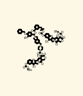 CCc1c2c(nc3ccc(OC(=O)OC(C)(C)Cc4cccc(COc5cc(OCc6ccccc6)c(C(C)C)cc5C(=O)N5Cc6ccc(CN7CCN(C(=O)OC8(CC)C(=O)OCc9c8cc8n(c9=O)Cc9c-8nc8ccc(OC(=O)OC(C)(C)C)cc8c9CC)CC7)cc6C5)c4)cc13)-c1cc3c(c(=O)n1C2)COC(=O)C3(CC)OC(=O)OC(C)(C)C